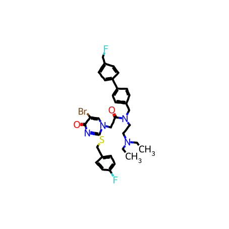 CCN(CC)CCN(Cc1ccc(-c2ccc(CF)cc2)cc1)C(=O)Cn1cc(Br)c(=O)nc1SCc1ccc(F)cc1